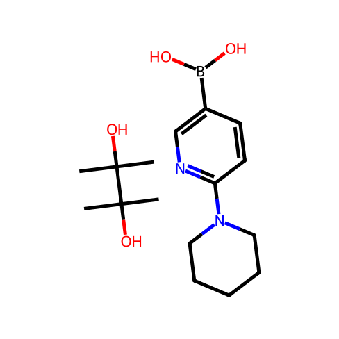 CC(C)(O)C(C)(C)O.OB(O)c1ccc(N2CCCCC2)nc1